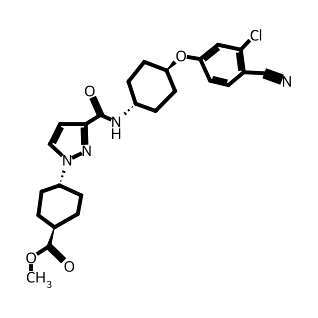 COC(=O)[C@H]1CC[C@H](n2ccc(C(=O)N[C@H]3CC[C@H](Oc4ccc(C#N)c(Cl)c4)CC3)n2)CC1